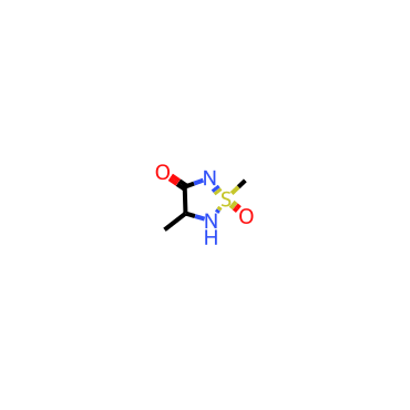 CC1NS(C)(=O)=NC1=O